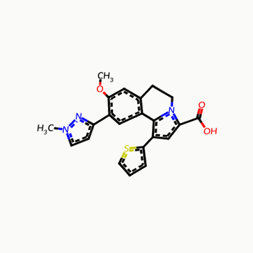 COc1cc2c(cc1-c1ccn(C)n1)-c1c(-c3cccs3)cc(C(=O)O)n1CC2